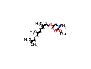 CC(C)=CCC/C(C)=C/CC/C(C)=C\COC(=O)CN(C)C(=O)OC(C)(C)C